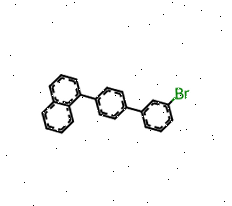 Brc1cccc(-c2ccc(-c3cccc4ccccc34)cc2)c1